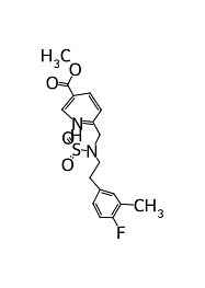 COC(=O)c1ccc(CN(CCc2ccc(F)c(C)c2)[SH](=O)=O)nc1